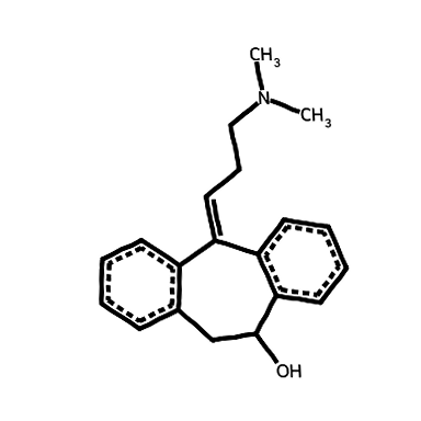 CN(C)CC/C=C1/c2ccccc2CC(O)c2ccccc21